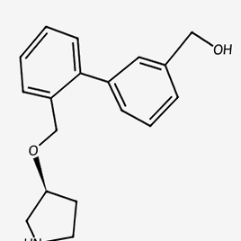 OCc1cccc(-c2ccccc2CO[C@H]2CCNC2)c1